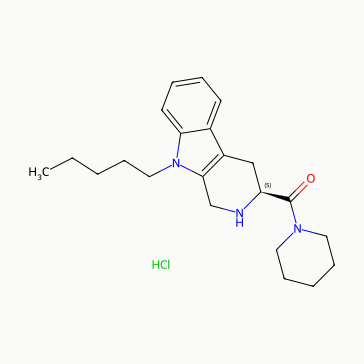 CCCCCn1c2c(c3ccccc31)C[C@@H](C(=O)N1CCCCC1)NC2.Cl